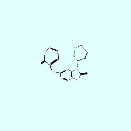 O=c1[nH]cccc1Nc1ncc2[nH]c(=O)n(C3CCCNC3)c2n1